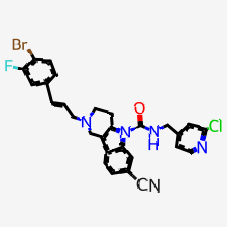 N#Cc1ccc2c3c(n(C(=O)NCc4ccnc(Cl)c4)c2c1)CCN(C/C=C/c1ccc(Br)c(F)c1)C3